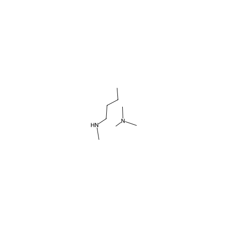 CCCCNC.CN(C)C